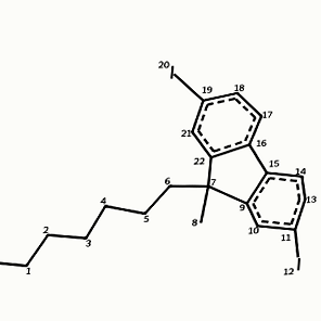 CCCCCCCC1(C)c2cc(I)ccc2-c2ccc(I)cc21